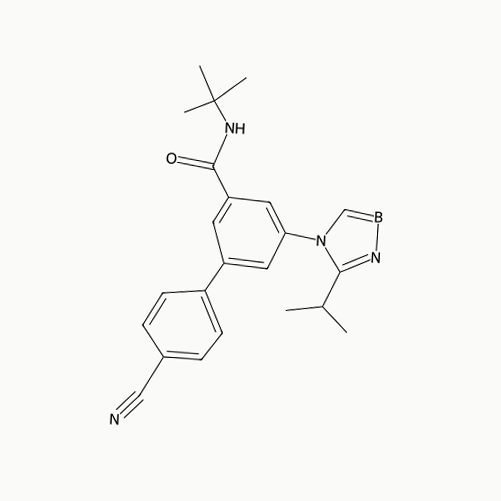 CC(C)c1nbcn1-c1cc(C(=O)NC(C)(C)C)cc(-c2ccc(C#N)cc2)c1